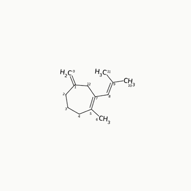 C=C1CCCC(C)=C(C=C(C)C)C1